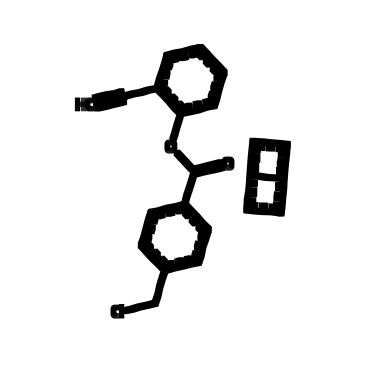 C#Cc1ccccc1OC(=O)c1ccc(CCl)cc1.c1cc2ccc1-2